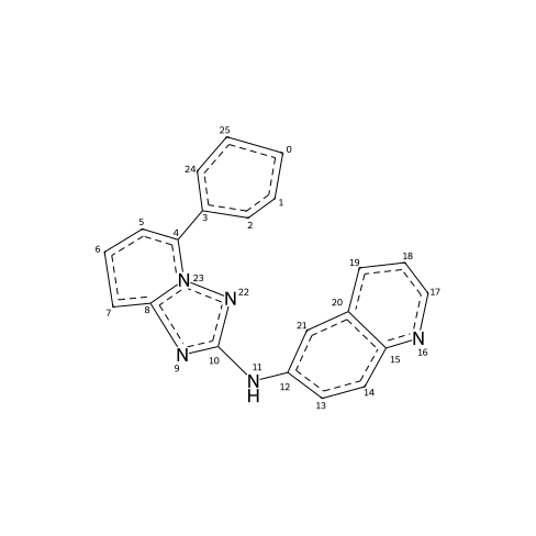 c1ccc(-c2cccc3nc(Nc4ccc5ncccc5c4)nn23)cc1